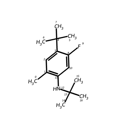 Cc1cc(C(C)(C)C)c(F)cc1NC(C)(C)C